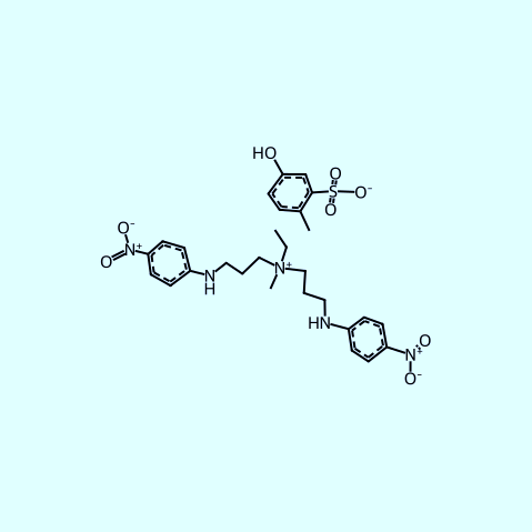 CC[N+](C)(CCCNc1ccc([N+](=O)[O-])cc1)CCCNc1ccc([N+](=O)[O-])cc1.Cc1ccc(O)cc1S(=O)(=O)[O-]